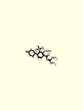 COc1c(C(=O)N=C(N)N)ccc(C2CCC(C)CC2)c1S(C)(=O)=O